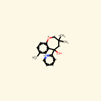 Cc1ccc2c(c1)C(O)(c1ccccn1)CC(C)(C)CO2